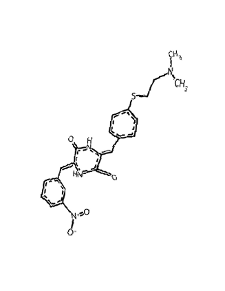 CN(C)CCSc1ccc(C=c2[nH]c(=O)c(=Cc3cccc([N+](=O)[O-])c3)[nH]c2=O)cc1